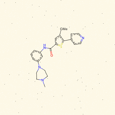 COc1cc(C(=O)Nc2cccc(N3CCN(C)CC3)c2)sc1-c1ccncc1